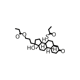 CCC(=O)OCCC[C@]1(O)CC[C@H]2[C@H]3[C@H](CC[C@@]21C)[C@H]1CCC(=O)C=C1C[C@H]3SC(=O)CC